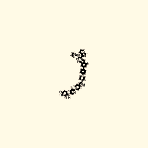 O=C1CCC(Nc2cnc(N3CCC(O)(CC(=O)N4CCN(c5ccc(-c6cc(F)c7c(c6)C(=O)N(C(C(=O)Nc6nccs6)c6ncn8c6CCC8)C7)cc5)CC4)CC3)c(F)c2)C(=O)N1